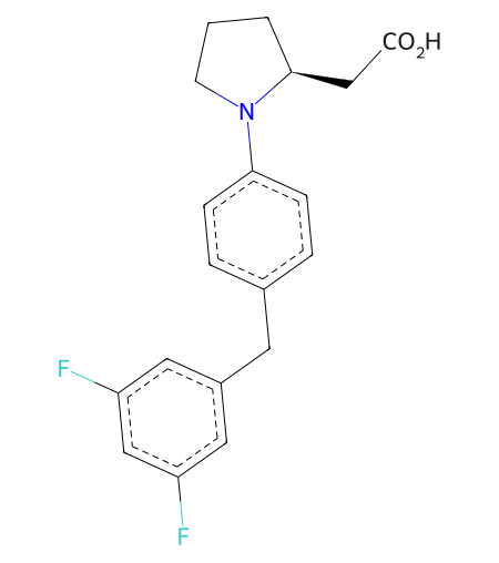 O=C(O)C[C@@H]1CCCN1c1ccc(Cc2cc(F)cc(F)c2)cc1